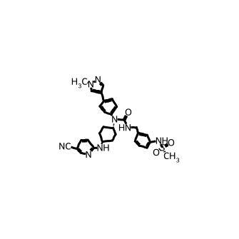 Cn1cc(-c2ccc(N(C(=O)NCc3cccc(NS(C)(=O)=O)c3)[C@H]3CC[C@H](Nc4ccc(C#N)cn4)CC3)cc2)cn1